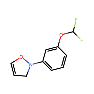 FC(F)Oc1cccc(N2CC=CO2)c1